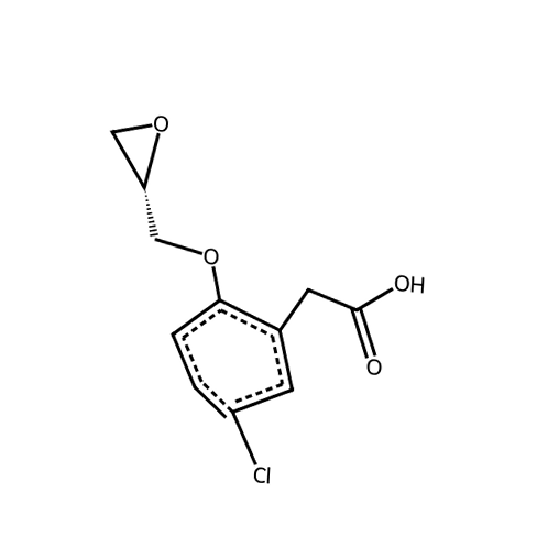 O=C(O)Cc1cc(Cl)ccc1OC[C@@H]1CO1